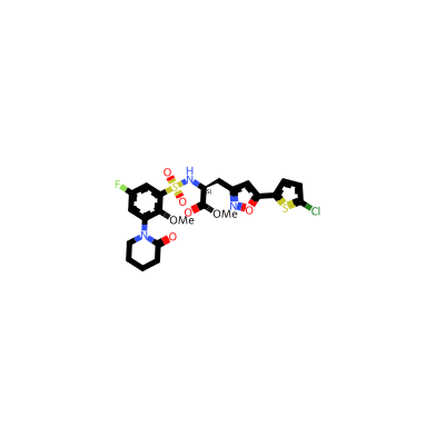 COC(=O)[C@H](Cc1cc(-c2ccc(Cl)s2)on1)NS(=O)(=O)c1cc(F)cc(N2CCCCC2=O)c1OC